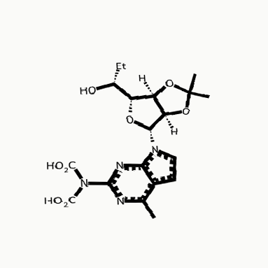 CC[C@@H](O)[C@H]1O[C@@H](n2ccc3c(C)nc(N(C(=O)O)C(=O)O)nc32)[C@@H]2OC(C)(C)O[C@@H]21